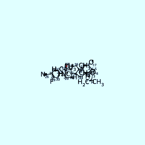 C=C(C)[C@@H]1CC[C@]2(C=O)CC[C@]3(C)[C@H](CC[C@@H]4[C@@]5(C)CCN(c6ccc(C#N)c(F)c6)C(C)(C)[C@@H]5CC[C@]43C)[C@@H]12